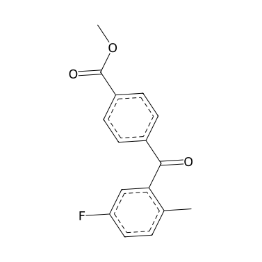 COC(=O)c1ccc(C(=O)c2cc(F)ccc2C)cc1